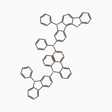 c1ccc(N(c2ccc(-c3ccccc3N(c3ccccc3)c3ccc4c5ccccc5n(-c5ccccc5)c4c3)cc2)c2ccc3c4c5sc6ccccc6c5ccc4n(-c4ccccc4)c3c2)cc1